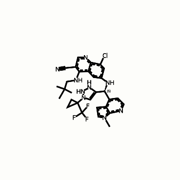 Cn1ccc2c([C@H](Nc3cc(Cl)c4ncc(C#N)c(NCC(C)(C)C)c4c3)C3=CN(C4(C(F)(F)F)CC4)NN3)ccnc21